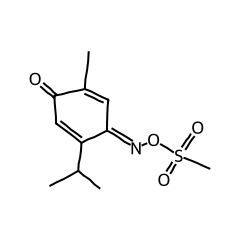 CC1=CC(=NOS(C)(=O)=O)C(C(C)C)=CC1=O